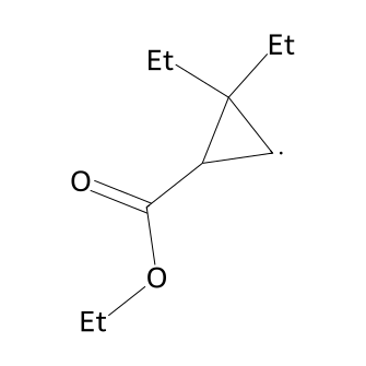 CCOC(=O)C1[CH]C1(CC)CC